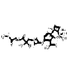 CNC(=O)CNC(=O)C(C)(N)CN1CC(Oc2ccc3c(c2C(=O)O)O[B-](O)(O)[C@@H]2C=C[C@H]32)C1